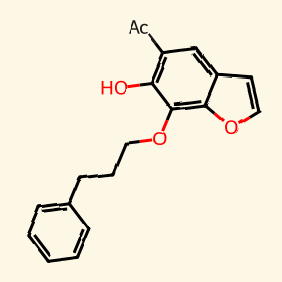 CC(=O)c1cc2ccoc2c(OCCCc2ccccc2)c1O